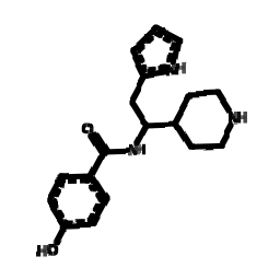 O=C(NC(Cc1ccc[nH]1)C1CCNCC1)c1ccc(O)cc1